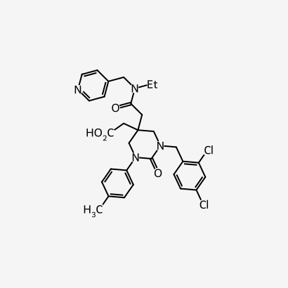 CCN(Cc1ccncc1)C(=O)CC1(CC(=O)O)CN(Cc2ccc(Cl)cc2Cl)C(=O)N(c2ccc(C)cc2)C1